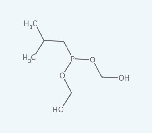 CC(C)CP(OCO)OCO